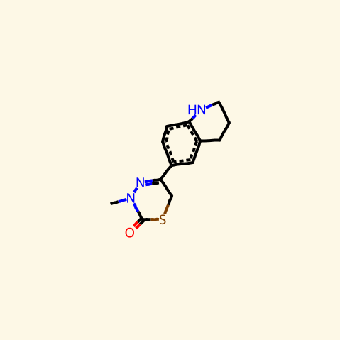 CN1N=C(c2ccc3c(c2)CCCN3)CSC1=O